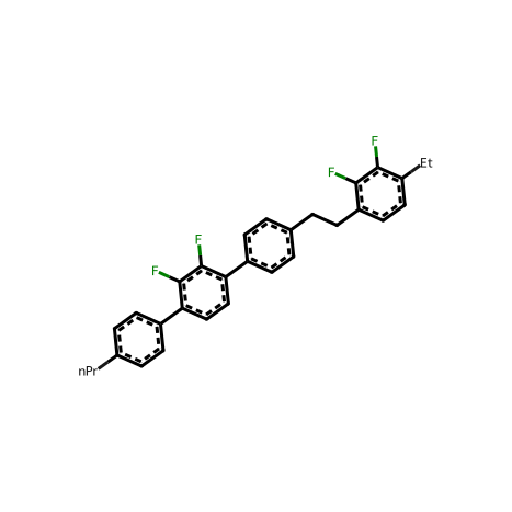 CCCc1ccc(-c2ccc(-c3ccc(CCc4ccc(CC)c(F)c4F)cc3)c(F)c2F)cc1